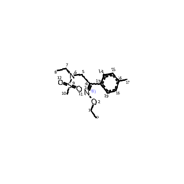 CCO/N=C(/CN(CC)S(C)(=O)=O)c1ccc(C)cc1